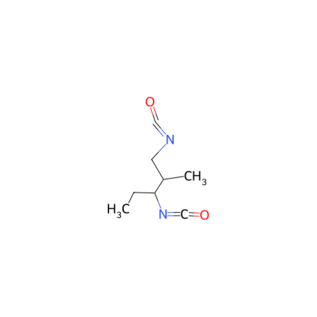 CCC(N=C=O)C(C)CN=C=O